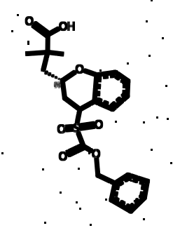 CC(C)(C[C@H]1CC(S(=O)(=O)C(=O)OCc2ccccc2)c2ccccc2O1)C(=O)O